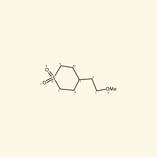 COCCC1CCS(=O)(=O)CC1